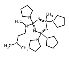 CN(C)CCN(C)P1(N2CCCC2)=NP(N2CCCC2)(N2CCCC2)=NP(C)(N2CCCC2)=N1